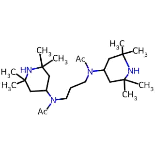 CC(=O)N(CCCN(C(C)=O)C1CC(C)(C)NC(C)(C)C1)C1CC(C)(C)NC(C)(C)C1